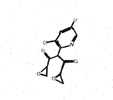 O=C(C1CO1)C(C(=O)C1CO1)c1ncc(Cl)cc1Cl